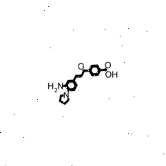 Nc1cc(/C=C/C(=O)c2ccc(C(=O)O)cc2)ccc1N1CCCC1